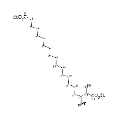 CCOC(=O)CCCCCCCCCCCCCCCCC(C(C)C)C(C(=O)OCC)C(C)C